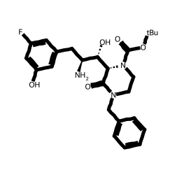 CC(C)(C)OC(=O)N1CCN(Cc2ccccc2)C(=O)[C@@H]1[C@@H](O)[C@@H](N)Cc1cc(O)cc(F)c1